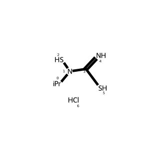 CC(C)N(S)C(=N)S.Cl